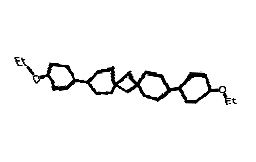 CCOC1CCC(C2CCC3(CC2)CC2(CCC(C4CCC(OCC)CC4)CC2)C3)CC1